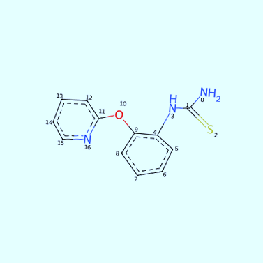 NC(=S)Nc1ccccc1Oc1ccccn1